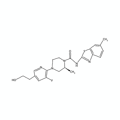 Cc1ccc2nc(NC(=O)N3CCN(c4ncc(CCO)cc4F)C[C@@H]3C)sc2c1